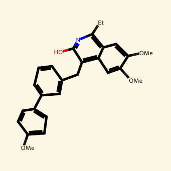 CCc1nc(O)c(Cc2cccc(-c3ccc(OC)cc3)c2)c2cc(OC)c(OC)cc12